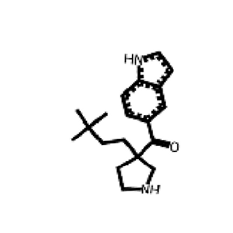 CC(C)(C)CCC1(C(=O)c2ccc3[nH]ccc3c2)CCNC1